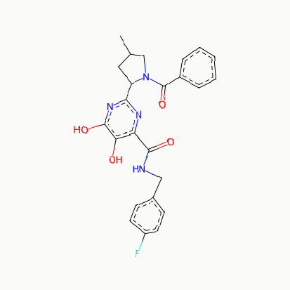 CC1CC(c2nc(O)c(O)c(C(=O)NCc3ccc(F)cc3)n2)N(C(=O)c2ccccc2)C1